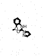 COc1ccccc1NC(=O)n1cc[c]n1